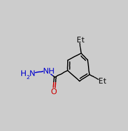 CCc1cc(CC)cc(C(=O)NN)c1